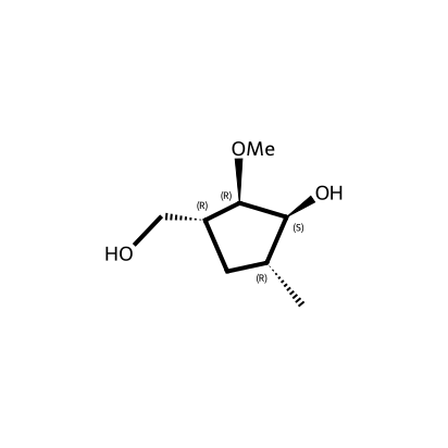 CO[C@@H]1[C@@H](CO)C[C@@H](C)[C@@H]1O